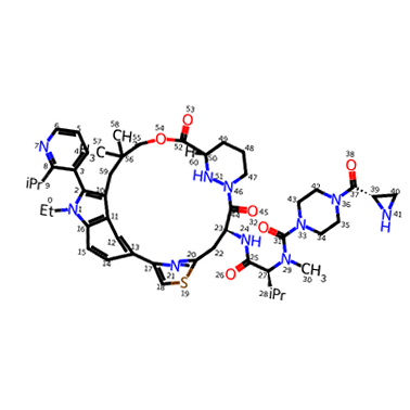 CCn1c(-c2cccnc2C(C)C)c2c3cc(ccc31)-c1csc(n1)C[C@H](NC(=O)[C@H](C(C)C)N(C)C(=O)N1CCN(C(=O)[C@@H]3CN3)CC1)C(=O)N1CCC[C@H](N1)C(=O)OCC(C)(C)C2